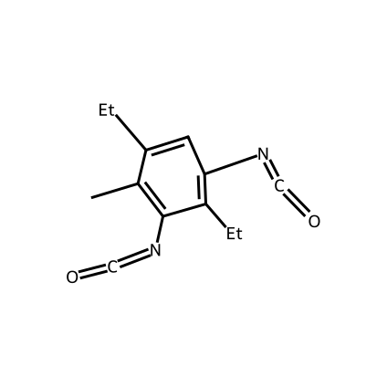 CCc1cc(N=C=O)c(CC)c(N=C=O)c1C